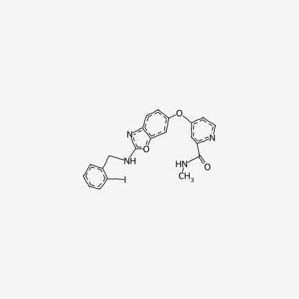 CNC(=O)c1cc(Oc2ccc3nc(NCc4ccccc4I)oc3c2)ccn1